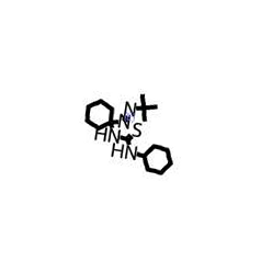 CC(C)(C)/N=N/C1(NC(=S)NC2CCCCC2)CCCCC1